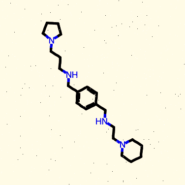 c1cc(CNCCN2CCCCC2)ccc1CNCCCN1CCCC1